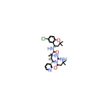 CC1(C)CC(=O)N([C@H](c2cccnc2)[C@@H]2C[C@H]2C(=O)N[C@H]2CC(C)(C)Oc3ccc(Cl)cc32)C(=N)N1